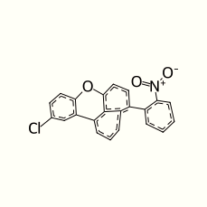 O=[N+]([O-])c1ccccc1-c1ccc2c3c(cccc13)-c1cc(Cl)ccc1O2